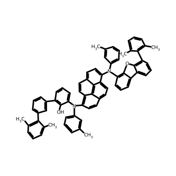 Cc1cccc(N(c2cccc(-c3cccc(-c4c(C)cccc4C)c3)c2O)c2ccc3ccc4c(N(c5cccc(C)c5)c5cccc6c5oc5c(-c7c(C)cccc7C)cccc56)ccc5ccc2c3c54)c1